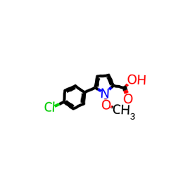 COn1c(C(=O)O)ccc1-c1ccc(Cl)cc1